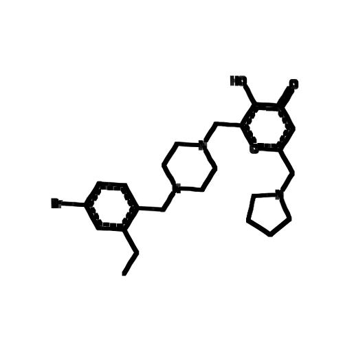 CCc1cc(Br)ccc1CN1CCN(Cc2oc(CN3CCCC3)cc(=O)c2O)CC1